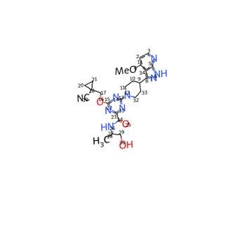 COc1ccnc2[nH]nc(C3CCN(c4nc(OCC5(C#N)CC5)nc(C(=O)N[C@H](C)CO)n4)CC3)c12